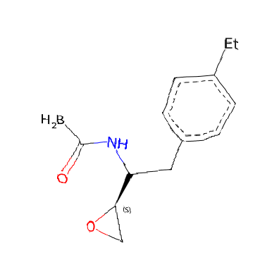 BC(=O)NC(Cc1ccc(CC)cc1)[C@H]1CO1